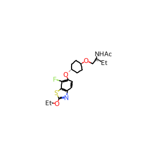 CCOc1nc2ccc(O[C@H]3CC[C@H](OC[C@H](CC)NC(C)=O)CC3)c(F)c2s1